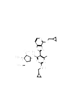 Cc1nc(NCC2CC2)nc(N[C@@H]2C[C@H](CO)[C@@H](O)[C@H]2O)c1-c1nc2c(OCC3CC3)nccc2s1